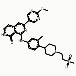 COc1ncc(-c2cc3cc[nH]c(=O)c3c(Nc3ccc(C4CCN(CCS(C)(=O)=O)CC4)c(C)c3)n2)cn1